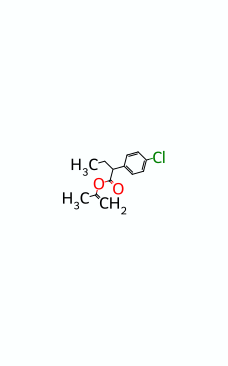 C=C(C)OC(=O)C(CC)c1ccc(Cl)cc1